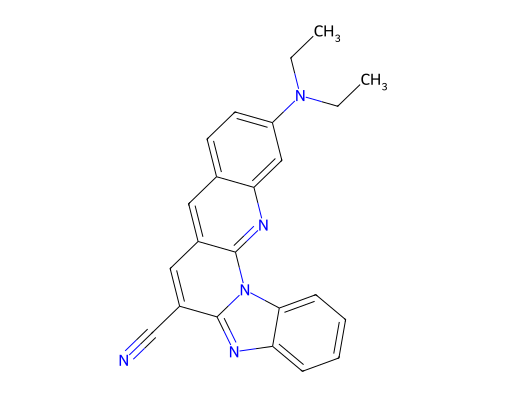 CCN(CC)c1ccc2cc3cc(C#N)c4nc5ccccc5n4c3nc2c1